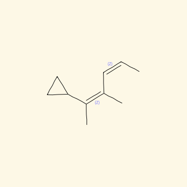 C/C=C\C(C)=C(\C)C1CC1